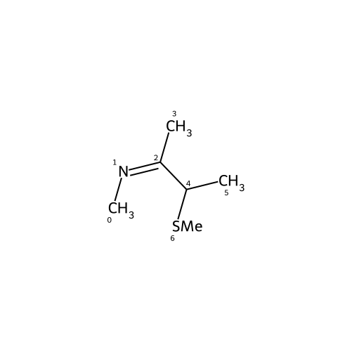 C/N=C(/C)C(C)SC